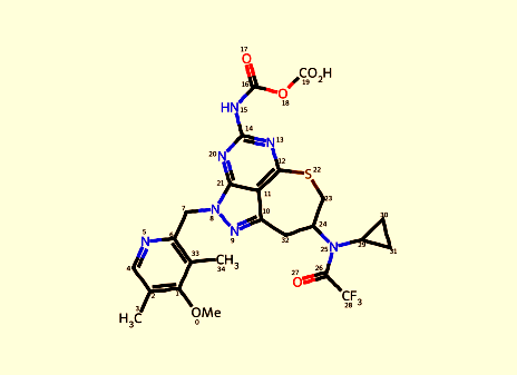 COc1c(C)cnc(Cn2nc3c4c(nc(NC(=O)OC(=O)O)nc42)SCC(N(C(=O)C(F)(F)F)C2CC2)C3)c1C